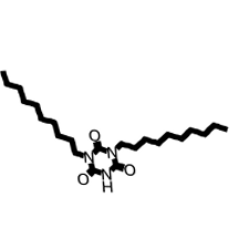 CCCCCCCCCCn1c(=O)[nH]c(=O)n(CCCCCCCCCC)c1=O